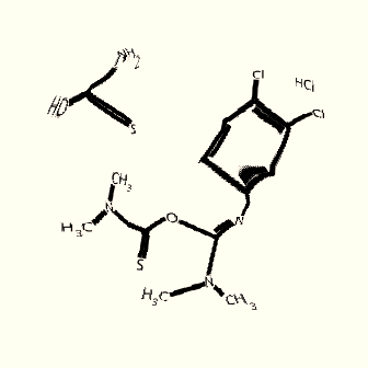 CN(C)C(=S)OC(=Nc1ccc(Cl)c(Cl)c1)N(C)C.Cl.NC(O)=S